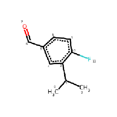 CC(C)c1cc(C=O)ccc1F